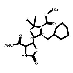 COC(=O)C1NC(=O)OC1[C@H]1OC(C)(C)N(C(=O)OC(C)(C)C)[C@H]1CC1CCCCC1